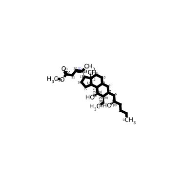 CCCC[C@@H](O)CC1CC2CC[C@@]3(C)C(CC[C@@H]3/C(C)=C\CC(=O)OC)C2[C@H](O)[C@@H]1CC